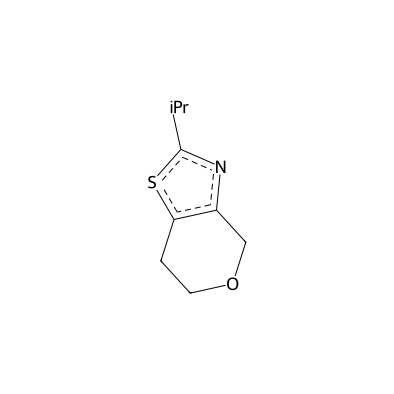 CC(C)c1nc2c(s1)CCOC2